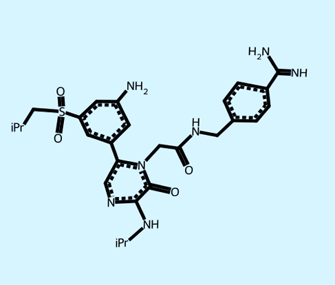 CC(C)CS(=O)(=O)c1cc(N)cc(-c2cnc(NC(C)C)c(=O)n2CC(=O)NCc2ccc(C(=N)N)cc2)c1